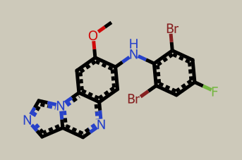 COc1cc2c(cc1Nc1c(Br)cc(F)cc1Br)ncc1cncn12